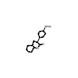 CC(=O)Nc1ccc(-c2cc3ccccc3oc2=O)cc1